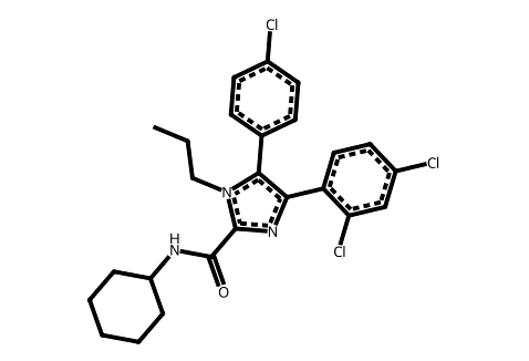 CCCn1c(C(=O)NC2CCCCC2)nc(-c2ccc(Cl)cc2Cl)c1-c1ccc(Cl)cc1